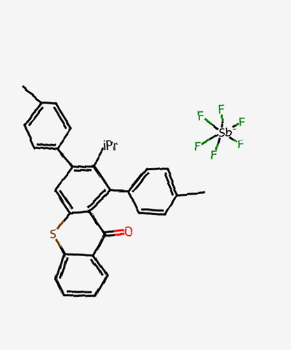 Cc1ccc(-c2cc3sc4ccccc4c(=O)c3c(-c3ccc(C)cc3)c2C(C)C)cc1.[F][Sb-]([F])([F])([F])([F])[F]